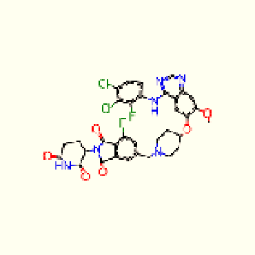 COc1cc2ncnc(Nc3ccc(Cl)c(Cl)c3F)c2cc1OC1CCN(Cc2cc(F)c3c(c2)C(=O)N(C2CCC(=O)NC2=O)C3=O)CC1